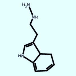 NNCCC1=CNC2=CC=CCC12